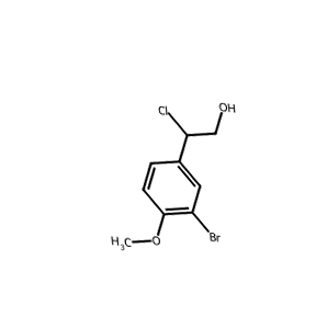 COc1ccc(C(Cl)CO)cc1Br